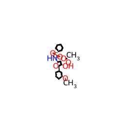 COc1cccc(-c2oc(NS(=O)(=O)c3ccccc3)c(OC(C)=O)c2O)c1